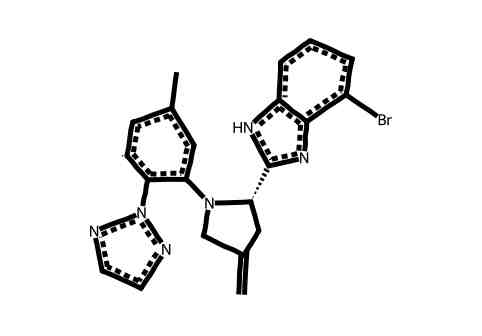 C=C1C[C@@H](c2nc3c(Br)cccc3[nH]2)N(c2cc(C)c[c]c2-n2nccn2)C1